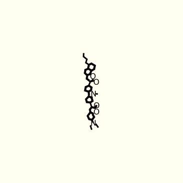 CCCCc1cccc2c1ccc1cc(-c3ccc4c5ccc(-c6cc7ccc(N(CC)CC)cc7oc6=O)cc5n(C)c4c3)c(=O)oc12